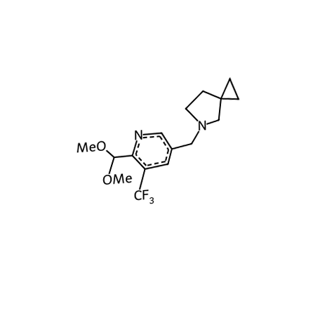 COC(OC)c1ncc(CN2CCC3(CC3)C2)cc1C(F)(F)F